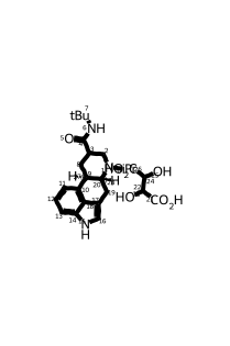 CC(C)N1CC(C(=O)NC(C)(C)C)C[C@@H]2c3cccc4[nH]cc(c34)C[C@H]21.O=C(O)C(O)C(O)C(=O)O